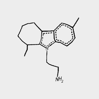 Cc1ccc2c(c1)c1c(n2CCN)C(C)CCC1